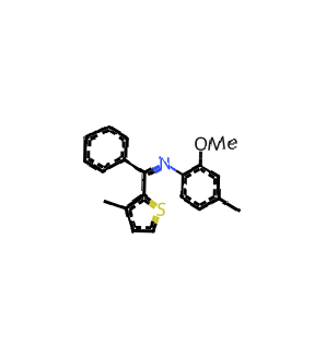 COc1cc(C)ccc1N=C(c1ccccc1)c1sccc1C